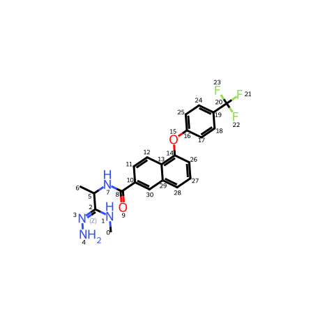 CN/C(=N\N)C(C)NC(=O)c1ccc2c(Oc3ccc(C(F)(F)F)cc3)cccc2c1